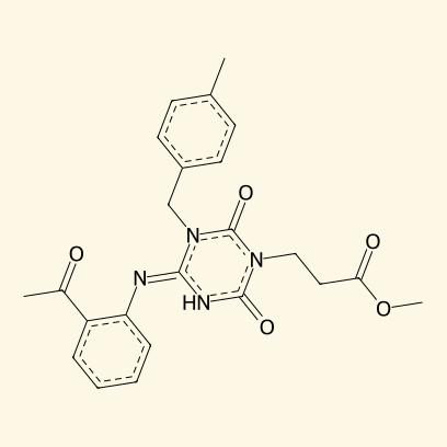 COC(=O)CCn1c(=O)[nH]/c(=N\c2ccccc2C(C)=O)n(Cc2ccc(C)cc2)c1=O